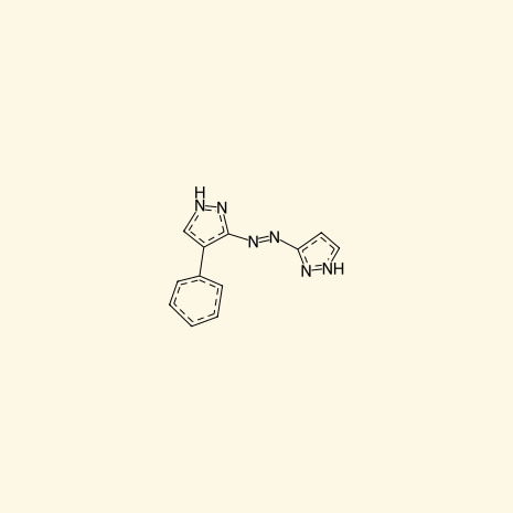 c1ccc(-c2c[nH]nc2N=Nc2cc[nH]n2)cc1